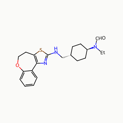 CCN(C=O)[C@H]1CC[C@H](CNc2nc3c(s2)CCOc2ccccc2-3)CC1